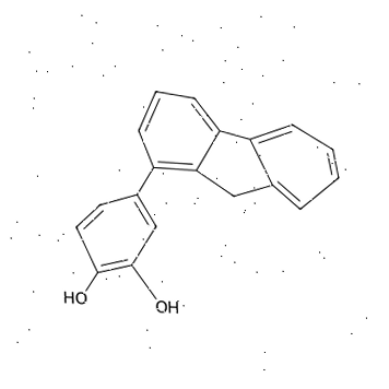 Oc1ccc(-c2cccc3c2Cc2ccccc2-3)cc1O